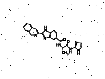 CC(NC(=O)c1ccc2[nH]c(-c3cc4ccccc4cn3)nc2c1)C(=O)Nc1ncc[nH]1